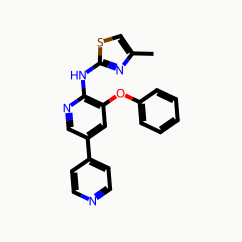 Cc1csc(Nc2ncc(-c3ccncc3)cc2Oc2ccccc2)n1